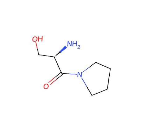 N[C@H](CO)C(=O)N1CCCC1